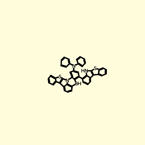 B1c2c(-c3cccc4c3[nH]c3sc5ccccc5c34)cc(N(c3ccccc3)c3ccccc3)cc2-n2c3sc4ccccc4c3c3cccc1c32